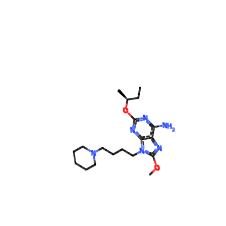 CC[C@H](C)Oc1nc(N)c2nc(OC)n(CCCCN3CCCCC3)c2n1